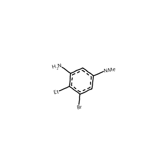 CCc1c(N)cc(NC)cc1Br